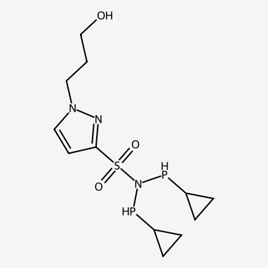 O=S(=O)(c1ccn(CCCO)n1)N(PC1CC1)PC1CC1